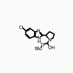 CC(C)(C)OC(O)N1CCCC1c1nc2cc(Cl)ccc2[nH]1